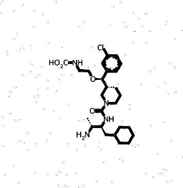 C[C@@H](N)[C@H](CC1CCCCC1)NC(=O)N1CCC[C@@H]([C@@H](OCCNC(=O)O)c2cccc(Cl)c2)C1